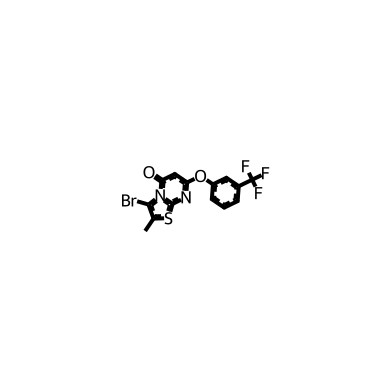 Cc1sc2nc(Oc3cccc(C(F)(F)F)c3)cc(=O)n2c1Br